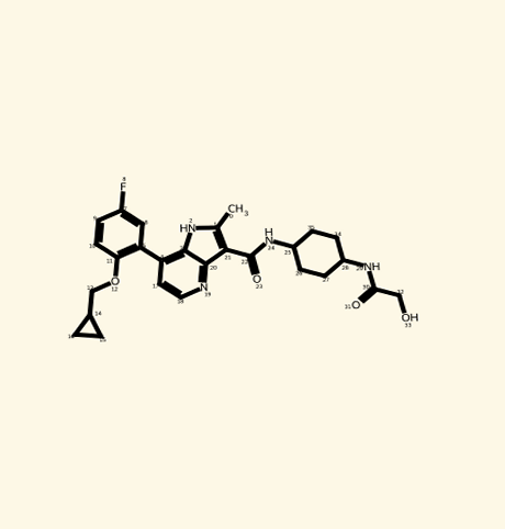 Cc1[nH]c2c(-c3cc(F)ccc3OCC3CC3)ccnc2c1C(=O)NC1CCC(NC(=O)CO)CC1